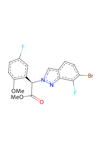 COC(=O)[C@@H](c1cc(F)ccc1OC)n1cc2ccc(Br)c(F)c2n1